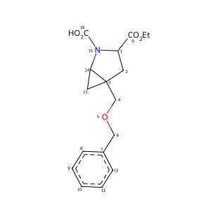 CCOC(=O)C1CC2(COCc3ccccc3)CC2N1C(=O)O